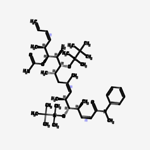 C=C/C=C\[C@H](C)[C@H](OC(N)=O)[C@@H](C)[C@H](O[Si](C)(C)C(C)(C)C)[C@@H](C)C/C(C)=C\[C@H](C)[C@@H](O[Si](C)(C)C(C)(C)C)[C@@H](C)/C=C\C(=O)N(C)c1ccccc1